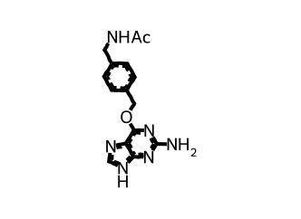 CC(=O)NCc1ccc(COc2nc(N)nc3[nH]cnc23)cc1